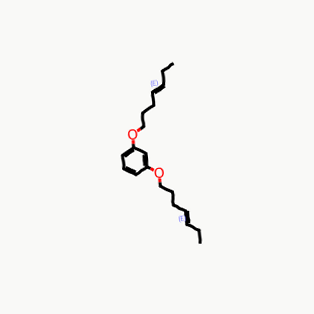 CC/C=C/CCCOc1cccc(OCCC/C=C/CC)c1